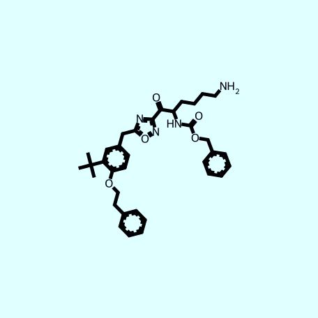 CC(C)(C)c1cc(Cc2nc(C(=O)C(CCCCN)NC(=O)OCc3ccccc3)no2)ccc1OCCc1ccccc1